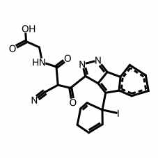 N#CC(C(=O)NCC(=O)O)C(=O)C1=NN=C2C1=C(C1(I)C=CCC=C1)c1ccccc12